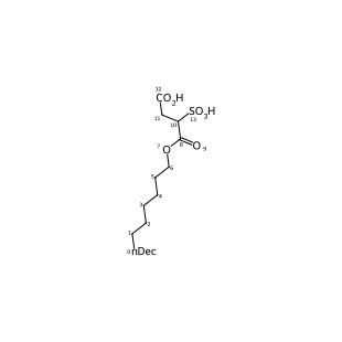 CCCCCCCCCCCCCCCCOC(=O)C(CC(=O)O)S(=O)(=O)O